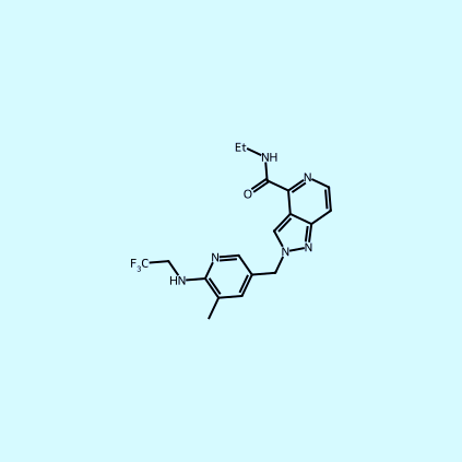 CCNC(=O)c1nccc2nn(Cc3cnc(NCC(F)(F)F)c(C)c3)cc12